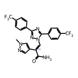 Cn1cc(/C(=C\n2nc(-c3ccc(C(F)(F)F)cc3)nc2-c2ccc(C(F)(F)F)cc2)C(N)=O)cn1